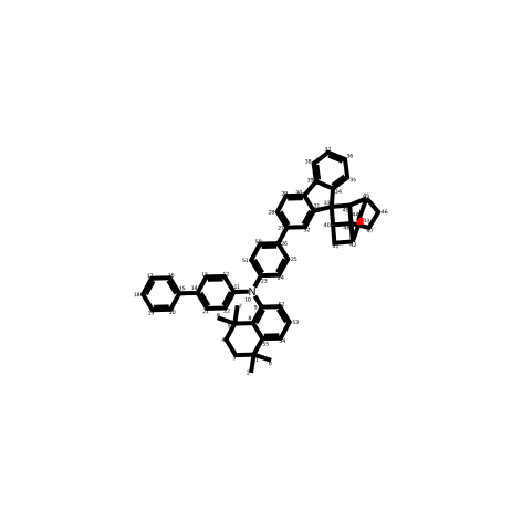 CC1(C)CCC(C)(C)c2c(N(c3ccc(-c4ccccc4)cc3)c3ccc(-c4ccc5c(c4)C4(c6ccccc6-5)C5CC6CCC7CCC65C74)cc3)cccc21